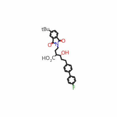 CC(C)(C)c1ccc2c(c1)C(=O)N(CCC(C(=O)O)[C@H](O)CCc1ccc(-c3ccc(F)cc3)cc1)C2=O